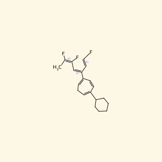 C\C(F)=C(F)/C=C(\C=C\F)C1=CCC=C(C2CCCCC2)C=C1